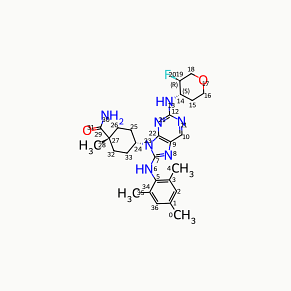 Cc1cc(C)c(Nc2nc3cnc(N[C@H]4CCOC[C@@H]4F)nc3n2[C@H]2CC[C@@](C)(C(N)=O)CC2)c(C)c1